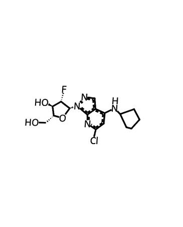 OC[C@H]1O[C@@H](n2ncc3c(NC4CCCC4)cc(Cl)nc32)[C@@H](F)[C@@H]1O